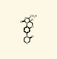 O=C(O)[C@@H]1OC(=O)N2c3ccc(N4CCOCC4=O)cc3OC[C@@H]12